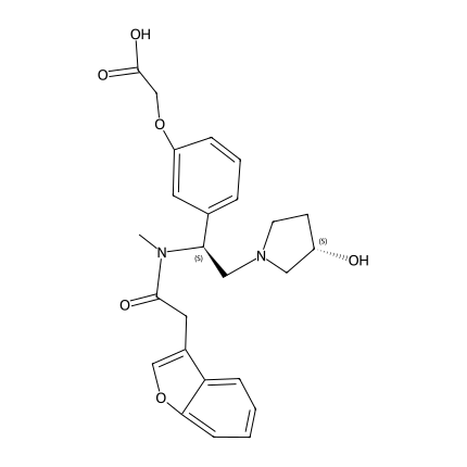 CN(C(=O)Cc1coc2ccccc12)[C@H](CN1CC[C@H](O)C1)c1cccc(OCC(=O)O)c1